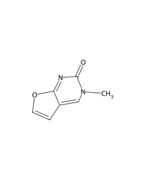 Cn1cc2ccoc2nc1=O